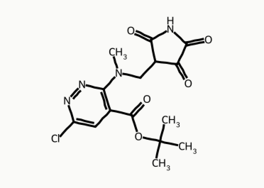 CN(CC1C(=O)NC(=O)C1=O)c1nnc(Cl)cc1C(=O)OC(C)(C)C